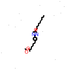 CCCCCCCCCCOc1cnc(-c2ccc(CCCCCC(C)OC(C)=O)cc2)nc1